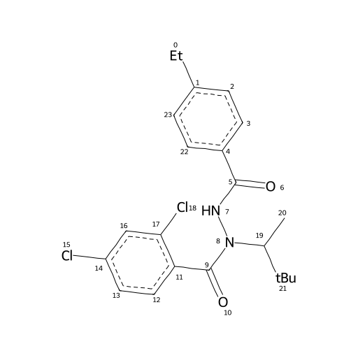 CCc1ccc(C(=O)NN(C(=O)c2ccc(Cl)cc2Cl)C(C)C(C)(C)C)cc1